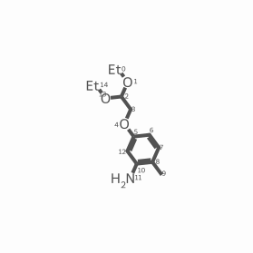 CCOC(COc1ccc(C)c(N)c1)OCC